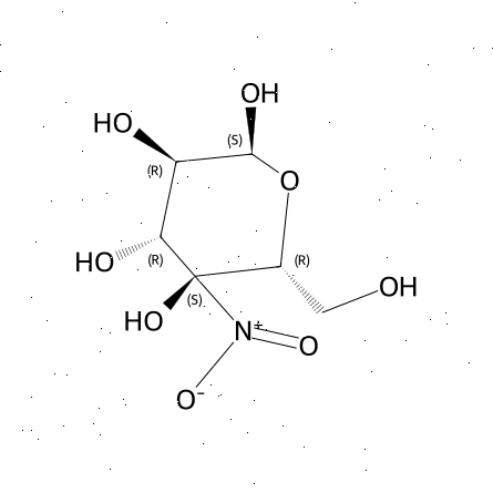 O=[N+]([O-])[C@]1(O)[C@H](O)[C@@H](O)[C@@H](O)O[C@@H]1CO